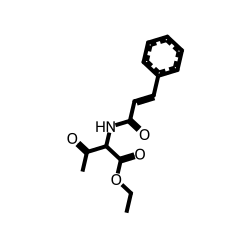 CCOC(=O)C(NC(=O)/C=C/c1ccccc1)C(C)=O